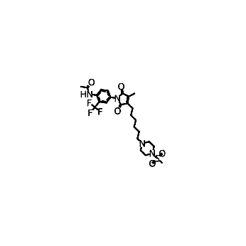 CC(=O)Nc1ccc(N2C(=O)C(C)=C(CCCCCCN3CCN(S(C)(=O)=O)CC3)C2=O)cc1C(F)(F)F